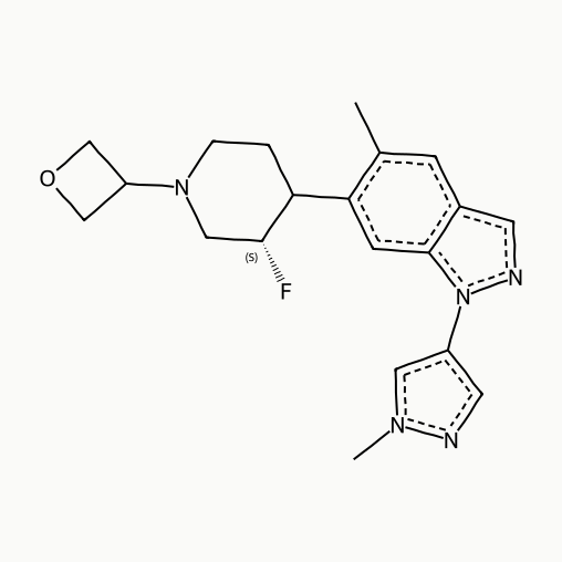 Cc1cc2cnn(-c3cnn(C)c3)c2cc1C1CCN(C2COC2)C[C@H]1F